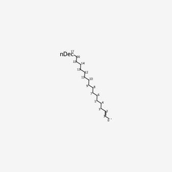 [CH2]/C=C/CCCCCCCCCCCCCCCCCCCCCCC[CH2]